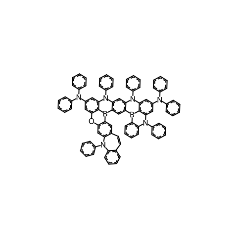 C1=Cc2cc3c(cc2N(c2ccccc2)c2ccccc21)Oc1cc(N(c2ccccc2)c2ccccc2)cc2c1B3c1cc3c(cc1N2c1ccccc1)N(c1ccccc1)c1cc(N(c2ccccc2)c2ccccc2)cc2c1B3c1ccccc1N2c1ccccc1